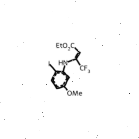 CCOC(=O)/C=C(\Nc1cc(OC)ccc1I)C(F)(F)F